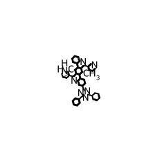 Cc1c2c(-c3cccnc3)nc3ccccc3c2c(C)c2c(C3=CNCC=C3)nc3cc(-c4nc(-c5ccccc5)nc(C5C=CC=CC5)n4)ccc3c12